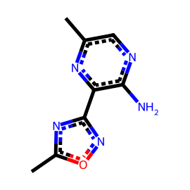 Cc1cnc(N)c(-c2noc(C)n2)n1